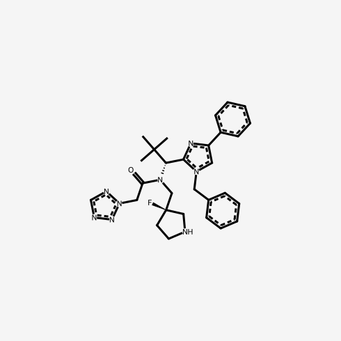 CC(C)(C)[C@H](c1nc(-c2ccccc2)cn1Cc1ccccc1)N(C[C@@]1(F)CCNC1)C(=O)Cn1ncnn1